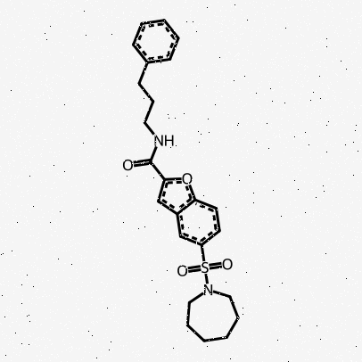 O=C(NCCCc1ccccc1)c1cc2cc(S(=O)(=O)N3CCCCCC3)ccc2o1